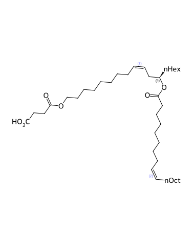 CCCCCCCC/C=C\CCCCCCCC(=O)O[C@@H](C/C=C\CCCCCCCCOC(=O)CCC(=O)O)CCCCCC